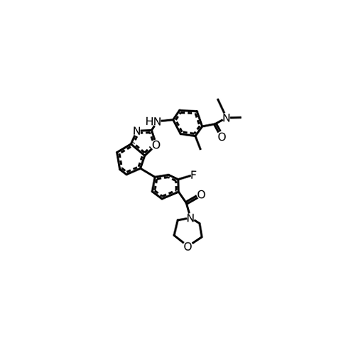 Cc1cc(Nc2nc3cccc(-c4ccc(C(=O)N5CCOCC5)c(F)c4)c3o2)ccc1C(=O)N(C)C